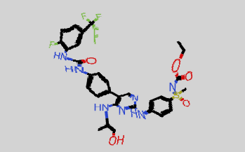 CCOC(=O)N=S(C)(=O)c1ccc(Nc2ncc(-c3ccc(NC(=O)Nc4cc(C(F)(F)F)ccc4F)cc3)c(NC(C)CO)n2)cc1